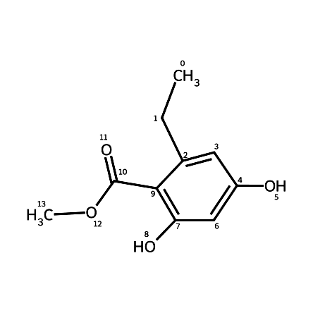 CCc1cc(O)cc(O)c1C(=O)OC